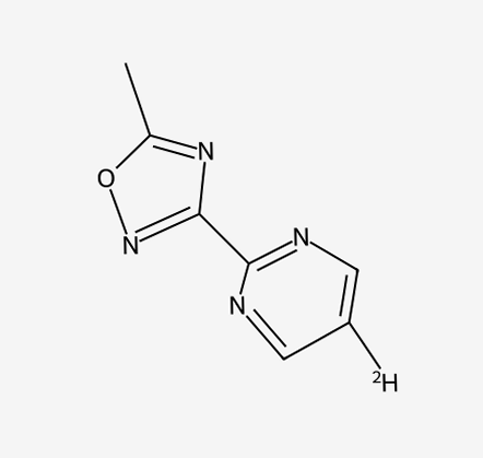 [2H]c1cnc(-c2noc(C)n2)nc1